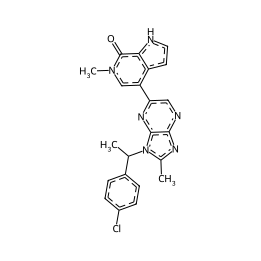 Cc1nc2ncc(-c3cn(C)c(=O)c4[nH]ccc34)nc2n1C(C)c1ccc(Cl)cc1